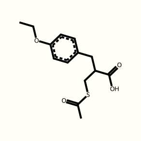 CCOc1ccc(CC(CSC(C)=O)C(=O)O)cc1